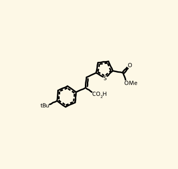 COC(=O)c1ccc(C=C(C(=O)O)c2ccc(C(C)(C)C)cc2)s1